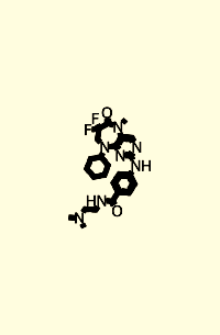 CN(C)CCNC(=O)c1ccc(Nc2ncc3c(n2)N(C2CCCCC2)CC(F)(F)C(=O)N3C)cc1